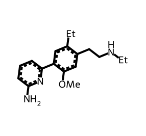 CCNCCc1cc(OC)c(-c2cccc(N)n2)cc1CC